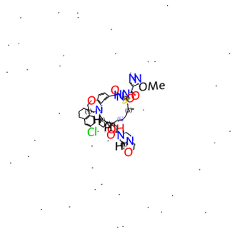 COc1nn(C)cc1C(=O)N[S@@]1(=O)=NC(=O)c2ccc3c(c2)N(C[C@@H]2CC[C@H]2[C@](O)(CC(=O)N2CCN4CCOC[C@@H]4C2)/C=C/C[C@H](C)C1)C[C@@]1(CCCc2cc(Cl)ccc21)CO3